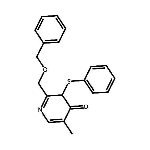 CC1=CN=C(COCc2ccccc2)C(Sc2ccccc2)C1=O